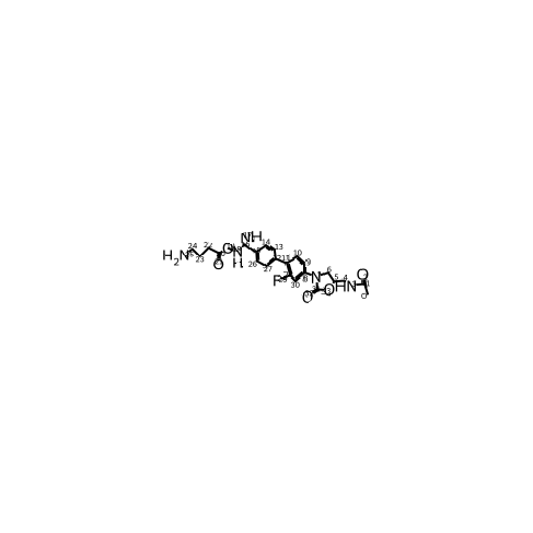 CC(=O)NCC1CN(c2ccc(-c3ccc(C(=N)NOC(=O)CCCN)cc3)c(F)c2)C(=O)O1